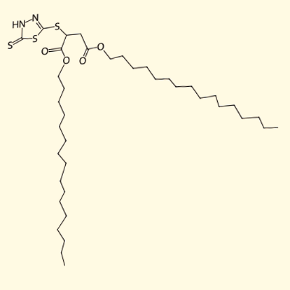 CCCCCCCCCCCCCCCCOC(=O)CC(Sc1n[nH]c(=S)s1)C(=O)OCCCCCCCCCCCCCCCC